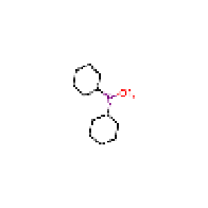 OP(C1CCCCC1)C1CCCCC1